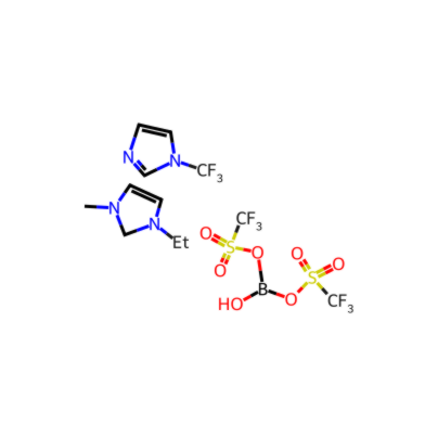 CCN1C=CN(C)C1.FC(F)(F)n1ccnc1.O=S(=O)(OB(O)OS(=O)(=O)C(F)(F)F)C(F)(F)F